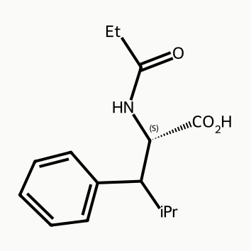 CCC(=O)N[C@H](C(=O)O)C(c1ccccc1)C(C)C